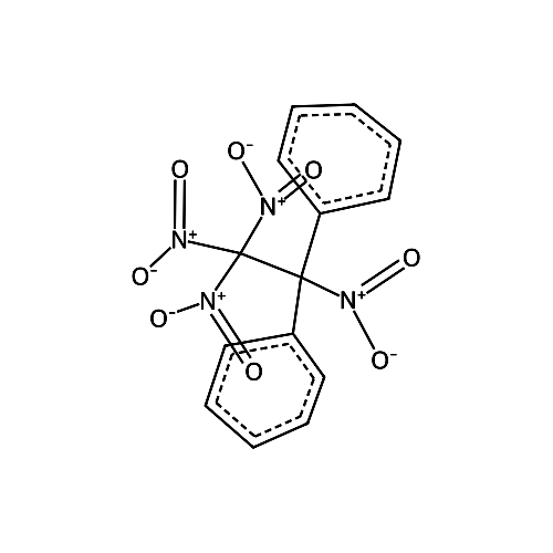 O=[N+]([O-])C(c1ccccc1)(c1ccccc1)C([N+](=O)[O-])([N+](=O)[O-])[N+](=O)[O-]